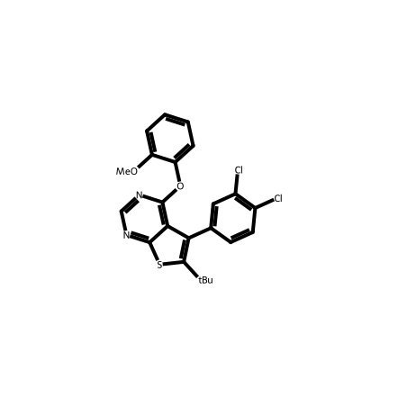 COc1ccccc1Oc1ncnc2sc(C(C)(C)C)c(-c3ccc(Cl)c(Cl)c3)c12